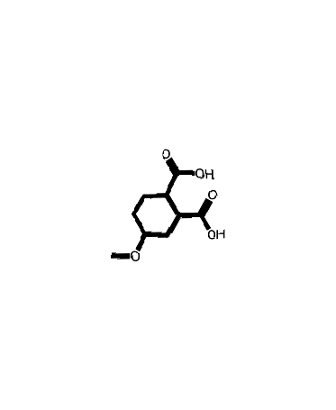 COC1CCC(C(=O)O)C(C(=O)O)C1